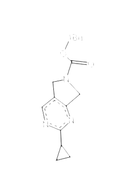 CC(C)(C)OC(=O)N1Cc2cnc(C3CC3)nc2C1